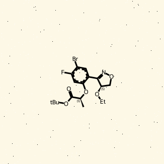 CCO[C@@H]1CON=C1c1cc(Br)c(F)cc1O[C@@H](C)C(=O)OC(C)(C)C